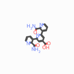 NC(=O)c1ncccc1-c1cc(C(=O)O)cc(-c2cccnc2C(N)=O)n1